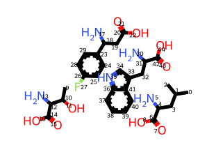 CC(C)CC(N)C(=O)O.CC(O)C(N)C(=O)O.NC(CC(=O)O)c1ccc(F)cc1.NC(Cc1c[nH]c2ccccc12)C(=O)O